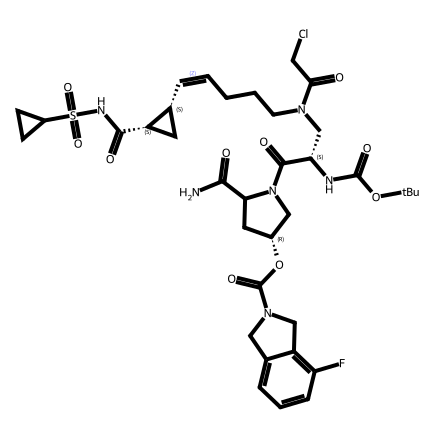 CC(C)(C)OC(=O)N[C@@H](CN(CCC/C=C\[C@@H]1C[C@@H]1C(=O)NS(=O)(=O)C1CC1)C(=O)CCl)C(=O)N1C[C@H](OC(=O)N2Cc3cccc(F)c3C2)CC1C(N)=O